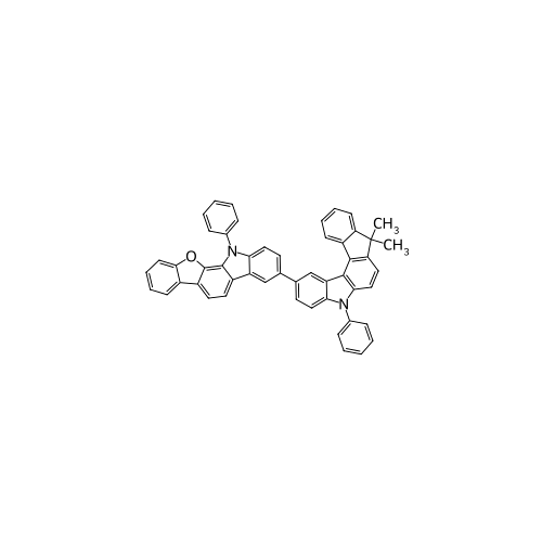 CC1(C)c2ccccc2-c2c1ccc1c2c2cc(-c3ccc4c(c3)c3ccc5c6ccccc6oc5c3n4-c3ccccc3)ccc2n1-c1ccccc1